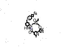 C=CC(=O)N1CCOc2c(cnn2C)-c2cc(cc(C)n2)C(=O)/N=C2\Nc3ccc(CN4CCC5(CC4)CC(N(C)C)C5)cc3N2CC1